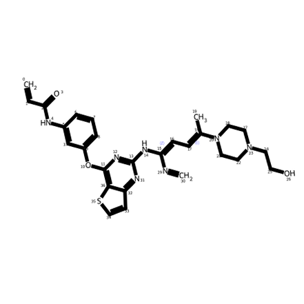 C=CC(=O)Nc1cccc(Oc2nc(N/C(=C/C=C(\C)N3CCN(CCO)CC3)N=C)nc3ccsc23)c1